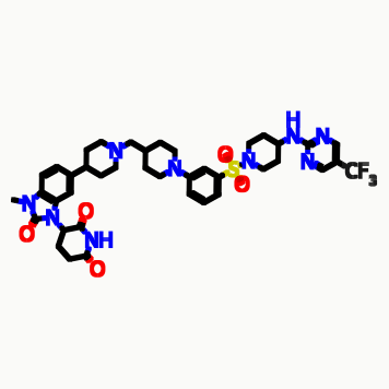 Cn1c(=O)n(C2CCC(=O)NC2=O)c2cc(C3CCN(CC4CCN(c5cccc(S(=O)(=O)N6CCC(Nc7ncc(C(F)(F)F)cn7)CC6)c5)CC4)CC3)ccc21